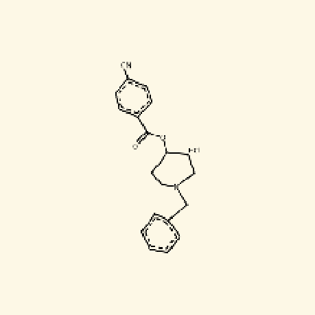 Cl.N#Cc1ccc(C(=O)OC2CCN(Cc3ccccc3)CC2)cc1